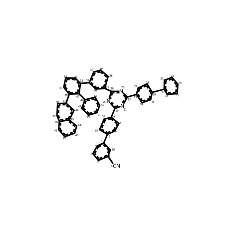 N#Cc1cccc(-c2ccc(-c3nc(-c4ccc(-c5ccccc5)cc4)nc(-c4cccc(-c5cccc(-c6ccc7ccccc7c6)c5-c5ccccc5)c4)n3)cc2)c1